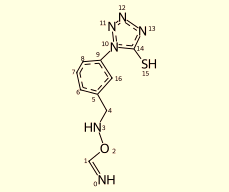 N=CONCc1cccc(-n2nnnc2S)c1